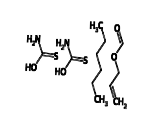 C=CCOC=O.CCCCCC.NC(O)=S.NC(O)=S